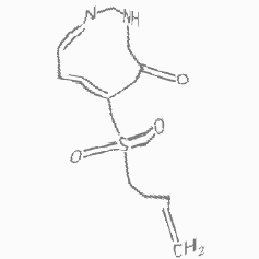 C=CCS(=O)(=O)c1ccn[nH]c1=O